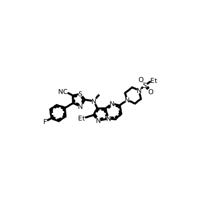 CCc1nn2ccc(N3CCN(S(=O)(=O)CC)CC3)nc2c1N(C)c1nc(-c2ccc(F)cc2)c(C#N)s1